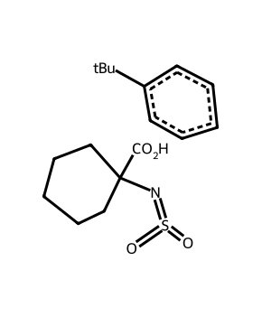 CC(C)(C)c1ccccc1.O=C(O)C1(N=S(=O)=O)CCCCC1